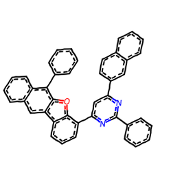 c1ccc(-c2nc(-c3ccc4ccccc4c3)cc(-c3cccc4c3oc3c(-c5ccccc5)c5ccccc5cc34)n2)cc1